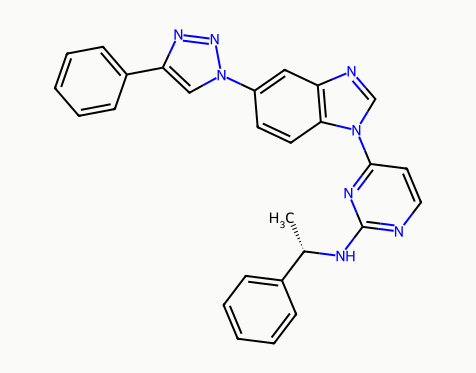 C[C@H](Nc1nccc(-n2cnc3cc(-n4cc(-c5ccccc5)nn4)ccc32)n1)c1ccccc1